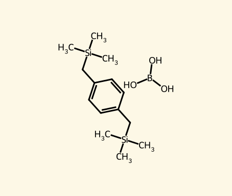 C[Si](C)(C)Cc1ccc(C[Si](C)(C)C)cc1.OB(O)O